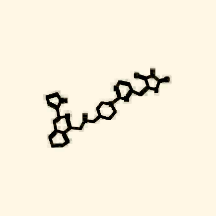 O=C1NC(=O)/C(=C\c2ccnc(N3CCC(CNCc4nc(-c5ccc[nH]5)cc5ccccc45)CC3)n2)S1